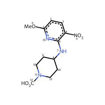 COc1ccc([N+](=O)[O-])c(NC2CCN(C(=O)O)CC2)n1